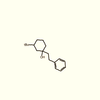 CC(C)(C)C1CCCC(O)(CCc2ccccc2)C1